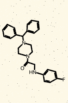 O=C(CNc1ccc(F)cc1)N1CCN(C(c2ccccc2)c2ccccc2)CC1